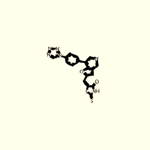 O=C1NC(=S)S/C1=C/c1cc2cncc(-c3ccc(-n4cnnn4)cc3)c2o1